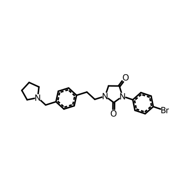 O=C1CN(CCc2ccc(CN3CCCC3)cc2)C(=O)N1c1ccc(Br)cc1